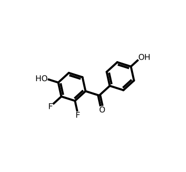 O=C(c1ccc(O)cc1)c1ccc(O)c(F)c1F